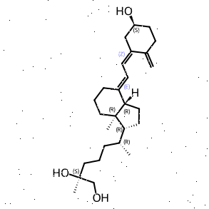 C=C1CC[C@H](O)C/C1=C/C=C1\CCC[C@]2(C)[C@@H]([C@H](C)CCC[C@](C)(O)CO)CC[C@@H]12